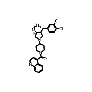 CO[C@@H]1CN(C2CCN(C(=O)c3ccnc4ccccc34)CC2)CC1Cc1ccc(Cl)c(Cl)c1